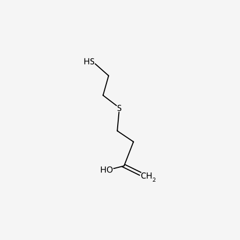 C=C(O)CCSCCS